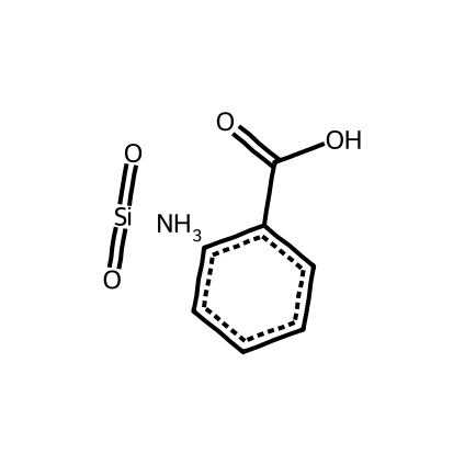 N.O=C(O)c1ccccc1.O=[Si]=O